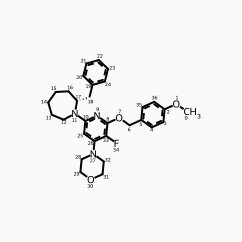 COc1ccc(COc2nc(N3CCCCC[C@@H]3Cc3ccccc3)cc(N3CCOCC3)c2F)cc1